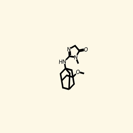 COC12CC3CC(CC(NC4=NCC(=O)N4C)(C3)C1)C2